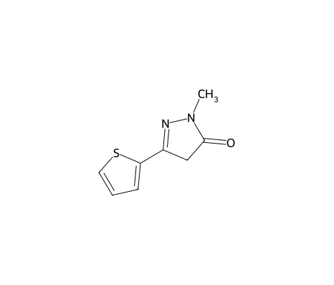 CN1N=C(c2cccs2)CC1=O